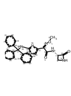 CO/N=C(\C(=O)N[C@H]1CNC1=O)c1csc(NC(c2ccccc2)(c2ccccc2)c2ccccc2)n1